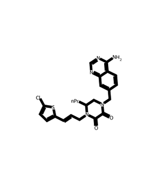 CCCC1CN(Cc2ccc3c(N)ncnc3c2)C(=O)C(=O)N1CC=Cc1ccc(Cl)s1